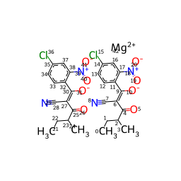 CCC(C)C(=O)/C(C#N)=C(\[O-])c1ccc(Cl)cc1[N+](=O)[O-].CCC(C)C(=O)/C(C#N)=C(\[O-])c1ccc(Cl)cc1[N+](=O)[O-].[Mg+2]